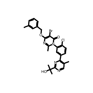 Cc1cccc(COc2nc(C)n(-c3cc(-c4nc(C(C)(C)O)ncc4C)ccc3Cl)c(=O)c2Br)c1